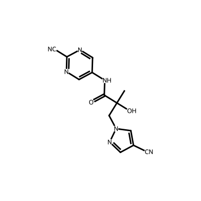 CC(O)(Cn1cc(C#N)cn1)C(=O)Nc1cnc(C#N)nc1